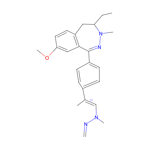 C=NN(C)/C=C(\C)c1ccc(C2=NN(C)C(CC)Cc3ccc(OC)cc32)cc1